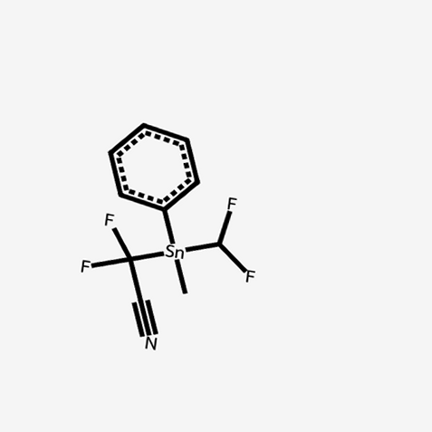 [CH3][Sn]([c]1ccccc1)([CH](F)F)[C](F)(F)C#N